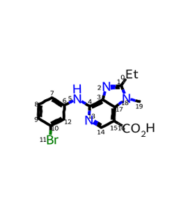 CCc1nc2c(Nc3cccc(Br)c3)ncc(C(=O)O)c2n1C